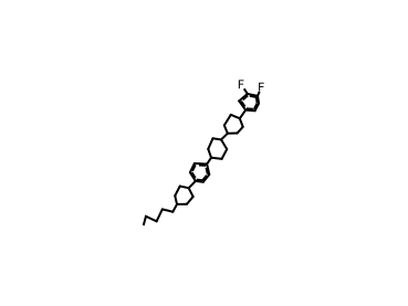 CCCCCC1CCC(c2ccc(C3CCC(C4CCC(c5ccc(F)c(F)c5)CC4)CC3)cc2)CC1